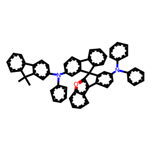 CC1(C)c2ccccc2-c2ccc(N(c3ccccc3)c3ccc4c(c3)C3(c5ccccc5-4)c4cc(N(c5ccccc5)c5ccccc5)ccc4-c4c3oc3ccccc43)cc21